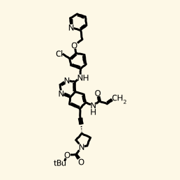 C=CC(=O)Nc1cc2c(Nc3ccc(OCc4ccccn4)c(Cl)c3)ncnc2cc1C#C[C@@H]1CCN(C(=O)OC(C)(C)C)C1